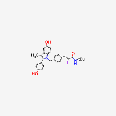 Cc1c(-c2ccc(O)cc2)n(Cc2ccc(C=C(I)C(=O)NC(C)(C)C)cc2)c2ccc(O)cc12